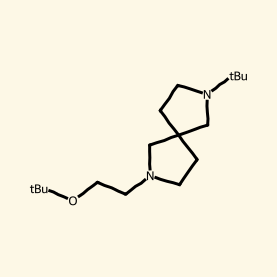 CC(C)(C)OCCN1CCC2(CCN(C(C)(C)C)C2)C1